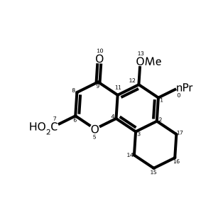 CCCc1c2c(c3oc(C(=O)O)cc(=O)c3c1OC)CCCC2